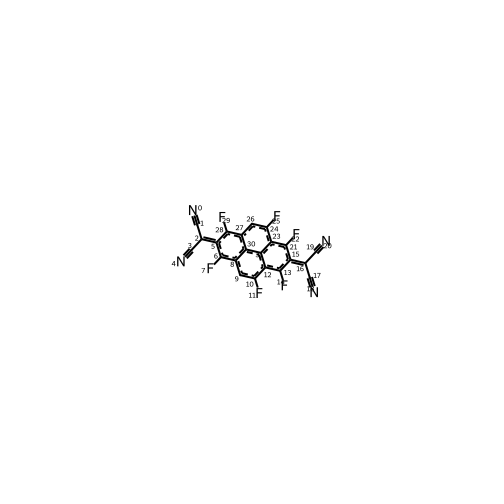 N#CC(C#N)=c1c(F)c2cc(F)c3c(F)c(=C(C#N)C#N)c(F)c4c(F)cc(c1F)c2c34